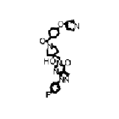 O=C(C1CCC(Oc2ccncc2)CC1)N1CCC(O)(Cn2cnc3c(cnn3-c3ccc(F)cc3)c2=O)CC1